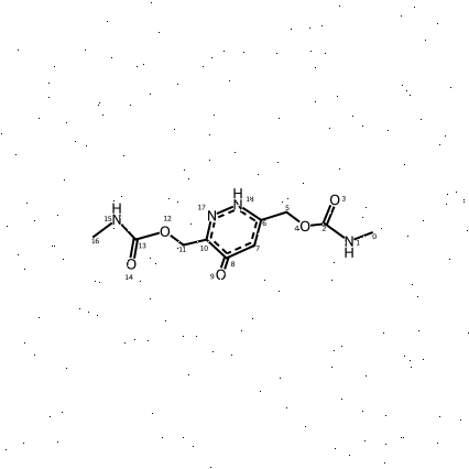 CNC(=O)OCc1cc(=O)c(COC(=O)NC)n[nH]1